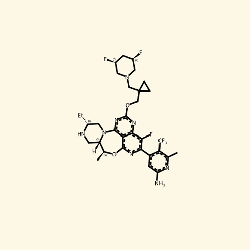 CC[C@@H]1CN2c3nc(OCC4(CN5C[C@H](F)C[C@H](F)C5)CC4)nc4c(F)c(-c5cc(N)nc(C)c5C(F)(F)F)nc(c34)O[C@@H](C)[C@@H]2CN1